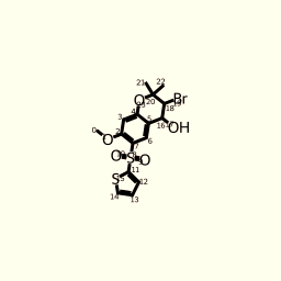 COc1cc2c(cc1S(=O)(=O)c1cccs1)C(O)C(Br)C(C)(C)O2